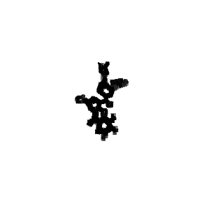 COc1cc(C(=O)c2cc(Cl)cn(C(C)c3cc(F)c(F)c(F)c3)c2=O)ccc1-n1cnc(C)c1